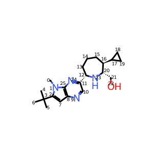 Cn1c(C(C)(C)C)cc2ncc([C@@H]3CCC[C@@H](C4CC4)[C@H](CO)N3)nc21